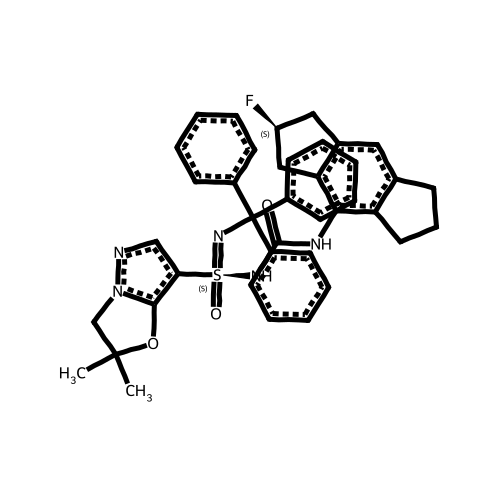 CC1(C)Cn2ncc([S@@](=O)(=NC(c3ccccc3)(c3ccccc3)c3ccccc3)NC(=O)Nc3c4c(cc5c3C[C@@H](F)C5)CCC4)c2O1